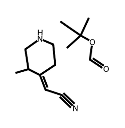 CC(C)(C)OC=O.CC1CNCCC1=CC#N